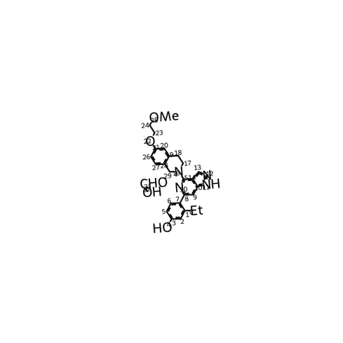 CCc1cc(O)ccc1-c1cc2[nH]ncc2c(N2CCc3cc(OCCOC)ccc3C2)n1.O=CO